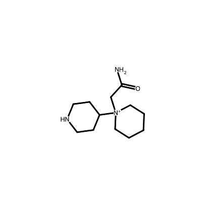 NC(=O)C[N+]1(C2CCNCC2)CCCCC1